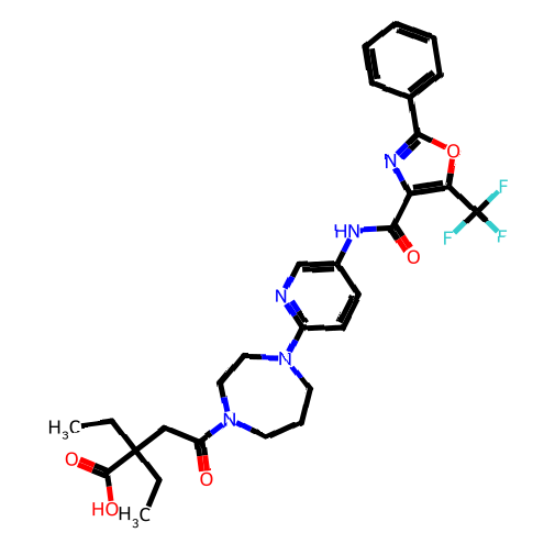 CCC(CC)(CC(=O)N1CCCN(c2ccc(NC(=O)c3nc(-c4ccccc4)oc3C(F)(F)F)cn2)CC1)C(=O)O